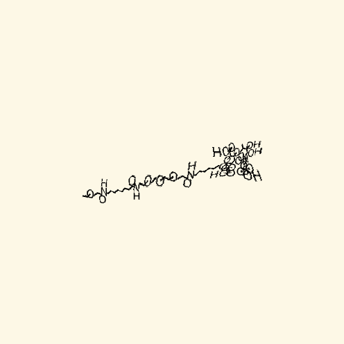 CCOCCC(=O)NCCCCCCCC(=O)NCCOCCOCCOCCC(=O)NCCCCCCOC1OC(C(=O)O)C(OC2OC(COS(=O)(=O)O)C(O)C(O)C2C)C(O)C1OS(=O)(=O)O